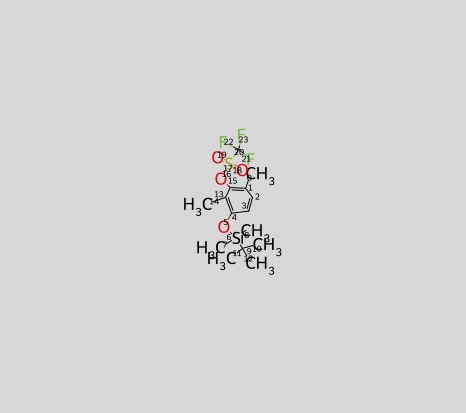 Cc1ccc(O[Si](C)(C)C(C)(C)C)c(C)c1OS(=O)(=O)C(F)(F)F